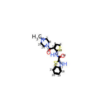 CN1CCN(C(=O)C2=CCSC2NC(=O)C2Nc3ccccc3S2)CC1